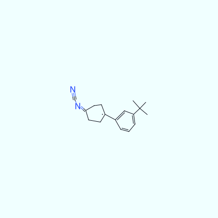 CC(C)(C)c1cccc([C]2CCC(=NC#N)CC2)c1